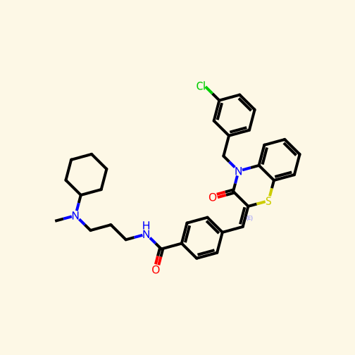 CN(CCCNC(=O)c1ccc(/C=C2/Sc3ccccc3N(Cc3cccc(Cl)c3)C2=O)cc1)C1CCCCC1